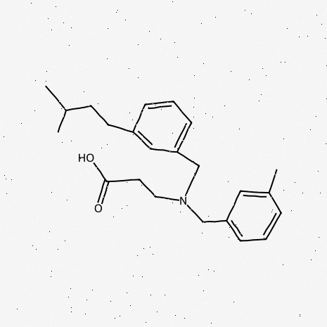 Cc1cccc(CN(CCC(=O)O)Cc2cccc(CCC(C)C)c2)c1